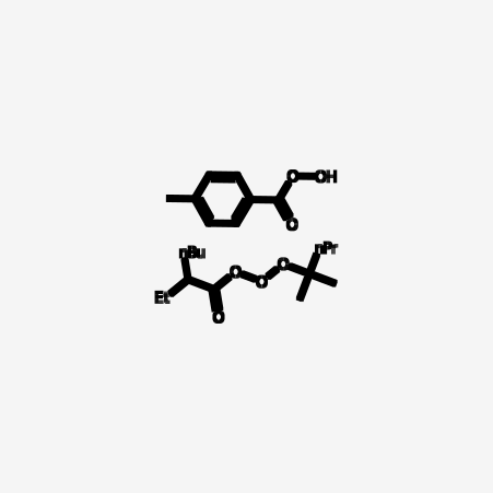 CCCCC(CC)C(=O)OOOC(C)(C)CCC.Cc1ccc(C(=O)OO)cc1